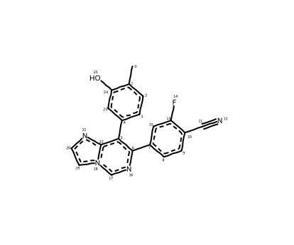 Cc1ccc(-c2c(-c3ccc(C#N)c(F)c3)ncn3ccnc23)cc1O